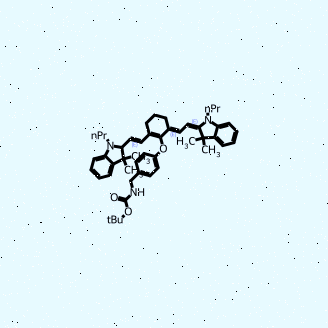 CCCN1/C(=C/C=C2\CCCC(/C=C/C3N(CCC)c4ccccc4C3(C)C)=C2Oc2ccc(CNC(=O)OC(C)(C)C)cc2)C(C)(C)c2ccccc21